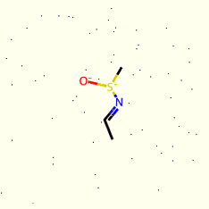 C/C=N/[S+](C)[O-]